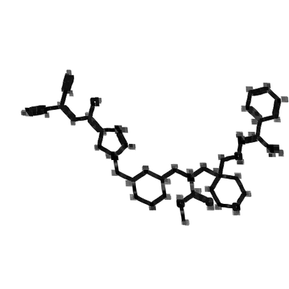 C#C/C(C#N)=C\C(Cl)=C1/CN(CC2CCCC(CN(CC3(CO/N=C(\N)c4ccccc4)CCOCC3)C(=O)OC)C2)C=N1